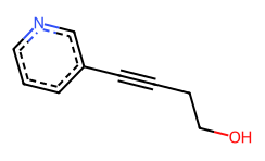 OCCC#Cc1cccnc1